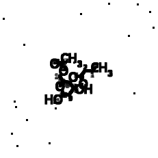 CCCC(=O)OC1C(O)CC(O)OC1COC(C)=O